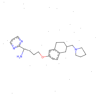 NC(CCCOc1ccc2c(c1)CCC(CN1CCCC1)C2)c1ncccn1